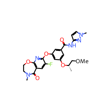 COC[C@H](C)Oc1cc(Oc2nc3c(cc2F)C(=O)N(C)CCO3)cc(C(=O)Nc2ccn(C)n2)c1